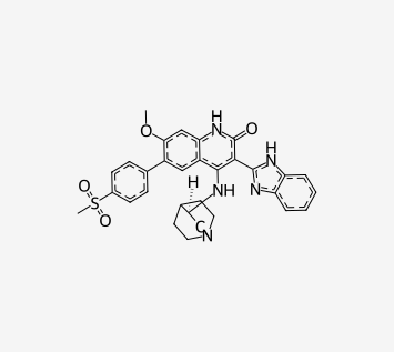 COc1cc2[nH]c(=O)c(-c3nc4ccccc4[nH]3)c(N[C@H]3CN4CCC3CC4)c2cc1-c1ccc(S(C)(=O)=O)cc1